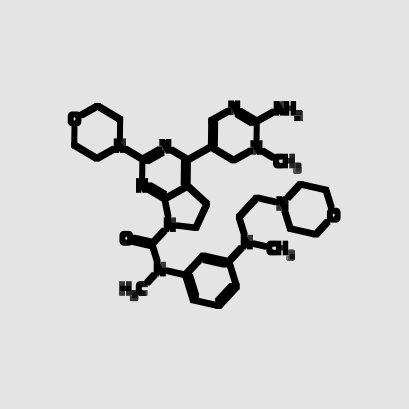 CN1CC(c2nc(N3CCOCC3)nc3c2CCN3C(=O)N(C)c2cccc(N(C)CCN3CCOCC3)c2)=CN=C1N